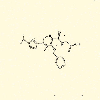 Cc1c(-c2cnn(C(C)C)c2)cnc(C(=O)NCC(=O)O)c1OCc1ccccc1